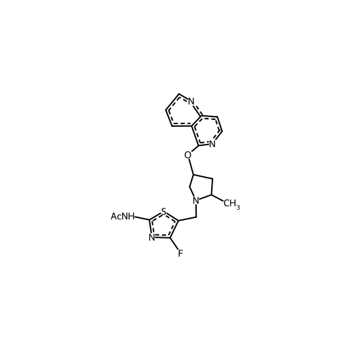 CC(=O)Nc1nc(F)c(CN2CC(Oc3nccc4ncccc34)CC2C)s1